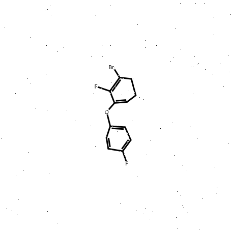 FC1=C(Br)[CH]CC=C1Oc1ccc(F)cc1